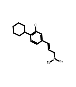 CCN(CC)C/C=C/c1ccc(C2CCCCC2)c(Cl)c1